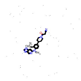 CCc1cc(C2CCN(C(=O)CC#N)CC2)ccc1N(C)c1cc2c(cn1)ncn2C